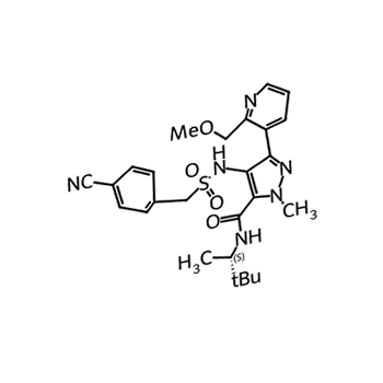 COCc1ncccc1-c1nn(C)c(C(=O)N[C@@H](C)C(C)(C)C)c1NS(=O)(=O)Cc1ccc(C#N)cc1